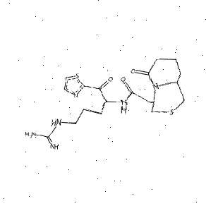 N=C(N)NCCCC(NC(=O)C1CSCC2CCCC(=O)N21)C(=O)c1nccs1